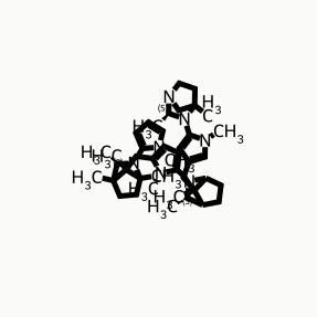 C[C@@H]1N(c2cccn2C)C2(C)CCC1(C)C2(C)Cc1ccc(N2C3CCC([C@@H]2C)C3(C)Cc2cc(N3[C@@H](C)N4CCC3(C)C4)n(C)c2)n1C